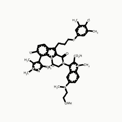 COCCN(C)c1ccc2c(c1)c(N1C[C@@H](C)n3c(c(CCCOc4cc(C)c(Cl)c(C)c4)c4ccc(Cl)c(-c5c(C)nn(C)c5C)c43)C1=O)c(C(=O)O)n2C